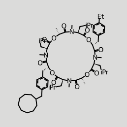 CCc1ccc(C[C@H]2OC(=O)[C@H](CC(C)C)N(C)C(=O)[C@@H](C)OC(=O)[C@H](CC(C)C)N(C)C(=O)[C@@H](Cc3ccc(CC4CCCCCCCC4)cc3)OC(=O)[C@H](CC(C)C)N(C)C(=O)[C@@H](C)OC(=O)[C@H](CC(C)C)N(C)C2=O)cc1